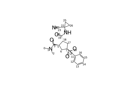 CN(C)C(=O)[C@@H]1C[C@H](S(=O)(=O)c2ccccc2)C[C@H]1C(=O)NC1(C#N)CC1